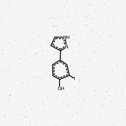 Oc1ccc(-c2cc[nH]n2)cc1I